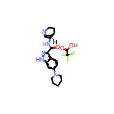 O=C(N[C@H]1CN2CCC1CC2)c1n[nH]c2cc(N3CCCCC3)ccc12.O=C(O)C(F)(F)F